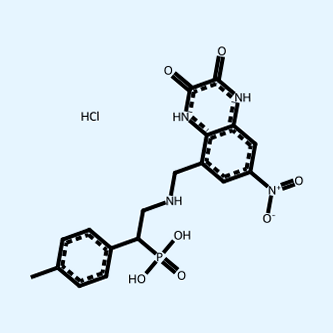 Cc1ccc(C(CNCc2cc([N+](=O)[O-])cc3[nH]c(=O)c(=O)[nH]c23)P(=O)(O)O)cc1.Cl